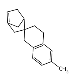 Cc1ccc2c(c1)CCC1(CC3=CCC1C3)C2